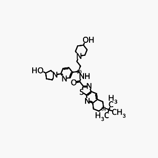 CC(C)(C)[C@H]1CCc2nc3sc(C(=O)N[C@H](CCN4CCC(O)CC4)c4ccc(N5CCC(O)C5)nc4)nc3cc2C1